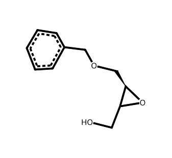 OCC1O[C@@H]1COCc1ccccc1